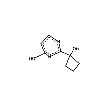 Oc1ccnc(C2(O)CCC2)n1